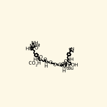 Cc1ncsc1-c1ccc(CNC(=O)C2C[C@@H](O)CN2C(=O)C(NC(=O)COCCOCCOCCNC(=O)CC[C@H](NC(=O)c2ccc(CCc3c[nH]c4nc(N)[nH]c(=O)c34)cc2)C(=O)O)C(C)(C)C)cc1